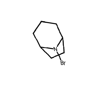 BrN1C2CCCC1CC2